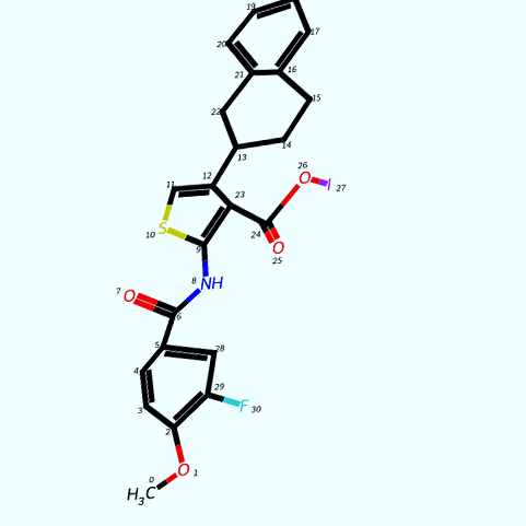 COc1ccc(C(=O)Nc2scc(C3CCc4ccccc4C3)c2C(=O)OI)cc1F